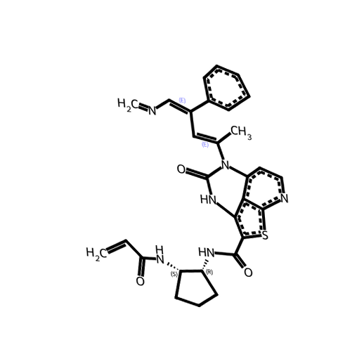 C=CC(=O)N[C@H]1CCC[C@H]1NC(=O)c1sc2nccc3c2c1NC(=O)N3/C(C)=C/C(=C\N=C)c1ccccc1